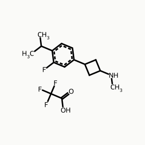 CNC1CC(c2ccc(C(C)C)c(F)c2)C1.O=C(O)C(F)(F)F